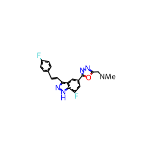 CNCc1nnc(-c2cc(F)c3[nH]nc(C=Cc4ccc(F)cc4)c3c2)o1